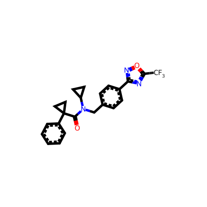 O=C(N(Cc1ccc(-c2noc(C(F)(F)F)n2)cc1)C1CC1)C1(c2ccccc2)CC1